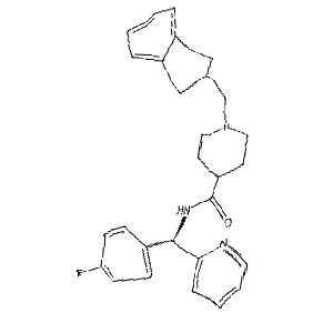 O=C(N[C@H](c1ccc(F)cc1)c1ccccn1)C1CCN(CC2Cc3ccccc3C2)CC1